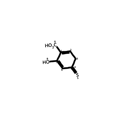 O=C(O)C1=CCC(=S)C=C1O